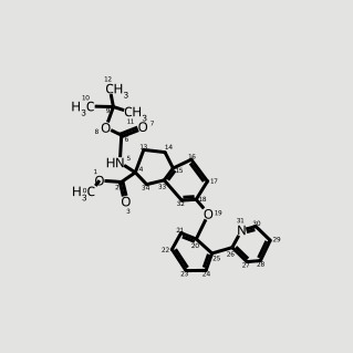 COC(=O)C1(NC(=O)OC(C)(C)C)CCc2ccc(Oc3ccccc3-c3ccccn3)cc2C1